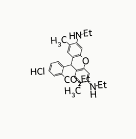 CCNc1cc2c(cc1C)C(c1ccccc1C(=O)OCC)c1cc(C)c(NCC)cc1O2.Cl